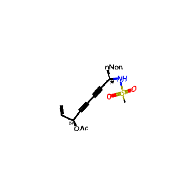 C=C[C@@H](C#CC#C[C@@H](CCCCCCCCC)NS(C)(=O)=O)OC(C)=O